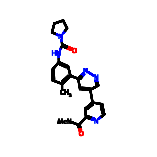 CNC(=O)c1cc(-c2cnnc(-c3cc(NC(=O)N4CCCC4)ccc3C)c2)ccn1